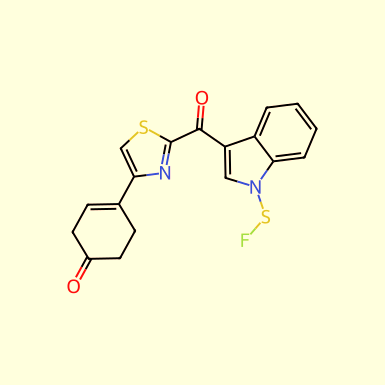 O=C1CC=C(c2csc(C(=O)c3cn(SF)c4ccccc34)n2)CC1